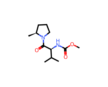 COC(=O)N[C@H](C(=O)N1CCC[C@@H]1C)C(C)C